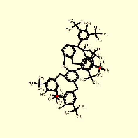 CC(C)(C)c1cc(Cc2cc(Cc3cc(C(C)(C)C)c(O)c(C(C)(C)C)c3)c3c(c2)-c2cc(C(C)(C)C)c(O)c(c2)C(C)(C)C(c2cc(C(C)(C)C)c(O)c(C(C)(C)C)c2)c2ccc(c(Cc4cc(C(C)(C)C)c(O)c(C(C)(C)C)c4)c2)N3)cc(C(C)(C)C)c1O